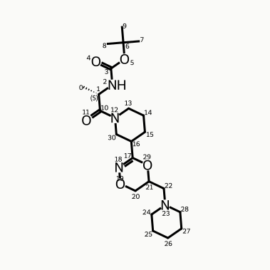 C[C@H](NC(=O)OC(C)(C)C)C(=O)N1CCCC(C2=NOCC(CN3CCCCC3)O2)C1